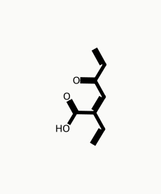 C=CC(=O)C=C(C=C)C(=O)O